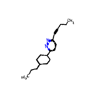 CCCC#Cc1ccc(C2CCC(CCC)CC2)nn1